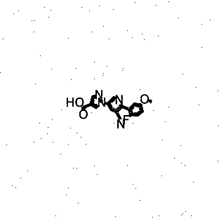 COc1ccc(F)c(-c2ncc(-n3cc(C(=O)O)cn3)cc2C#N)c1